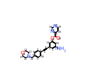 Nc1cc(C#Cc2ccc(CN3CCOCC3)cc2)cc(OC(=O)c2ccncn2)c1